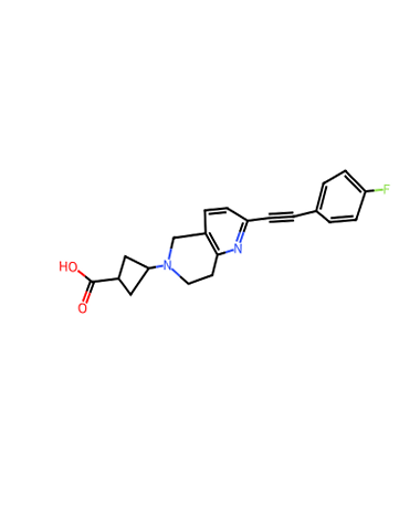 O=C(O)C1CC(N2CCc3nc(C#Cc4ccc(F)cc4)ccc3C2)C1